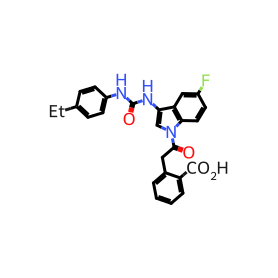 CCc1ccc(NC(=O)Nc2cn(C(=O)Cc3ccccc3C(=O)O)c3ccc(F)cc23)cc1